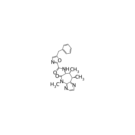 C[C@@H]1[C@H](NC(=O)c2ncc(Cc3ccccc3)o2)C(=O)N(C)c2nccnc2[C@@H]1C